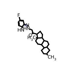 CC1CCC2C(CCC3C2CCC2(C)C(C(=O)CN/N=C4/C=C(F)C=CC4=N)CCC32)C1